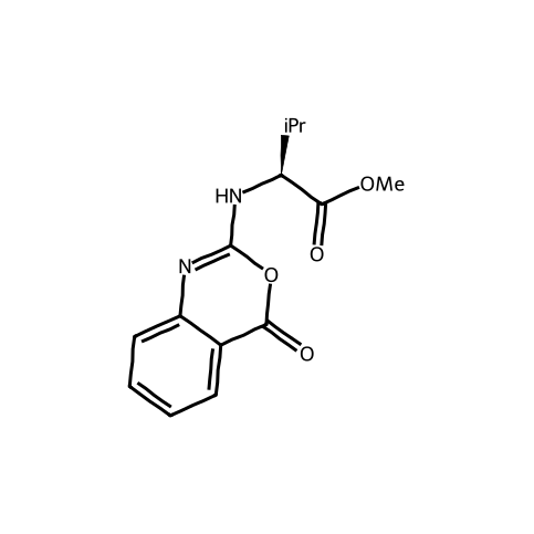 COC(=O)[C@@H](Nc1nc2ccccc2c(=O)o1)C(C)C